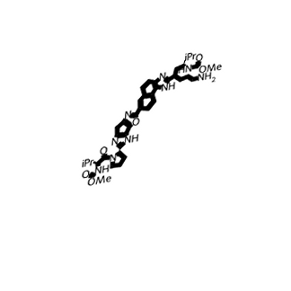 COC(=O)N[C@H](C(=O)N1CCC[C@H]1c1nc2c([nH]1)-c1oc(-c3ccc4c(ccc5nc(C(CCCN)C[C@@H](NC(=O)OC)C(C)C)[nH]c54)c3)nc1C2)C(C)C